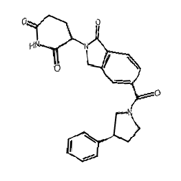 O=C1CCC(N2Cc3cc(C(=O)N4CC[C@@H](c5ccccc5)C4)ccc3C2=O)C(=O)N1